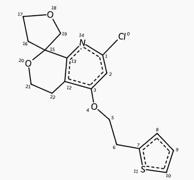 Clc1cc(OCCc2cccs2)c2c(n1)C1(CCOC1)OCC2